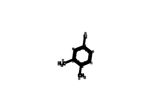 [Li][c]1ccc(C)c(C)c1